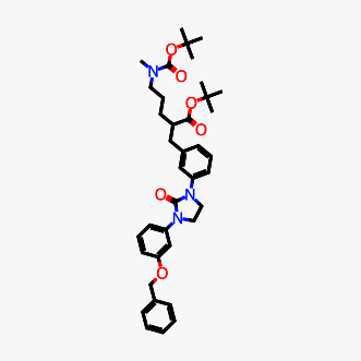 CN(CCCC(Cc1cccc(N2CCN(c3cccc(OCc4ccccc4)c3)C2=O)c1)C(=O)OC(C)(C)C)C(=O)OC(C)(C)C